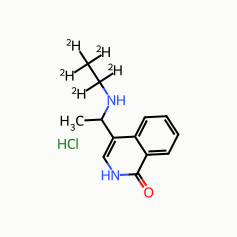 Cl.[2H]C([2H])([2H])C([2H])([2H])NC(C)c1c[nH]c(=O)c2ccccc12